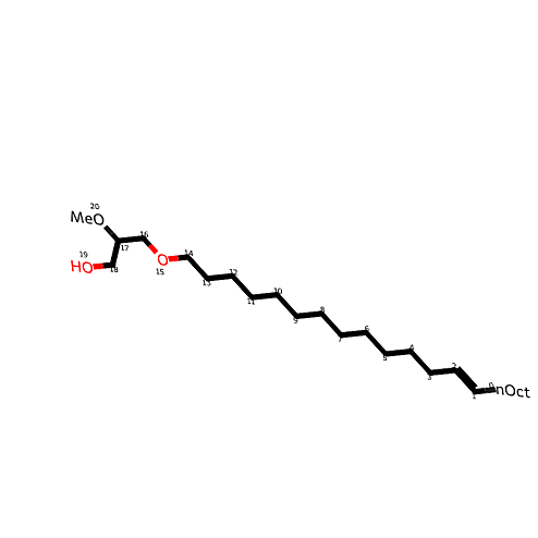 CCCCCCCCC=CCCCCCCCCCCCCOCC(CO)OC